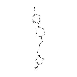 N#Cc1cnn(CCCCN2CCN(c3ncc(F)cn3)CC2)c1